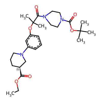 CCOC(=O)[C@H]1CCCN(c2cccc(OC(C)(C)C(=O)N3CCN(C(=O)OC(C)(C)C)CC3)c2)C1